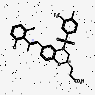 C/C(=C\c1ccc2c(c1)N(S(=O)(=O)c1ccc(C)c(C(F)(F)F)c1)C[C@H](CCC(=O)O)O2)c1c(F)cccc1Cl